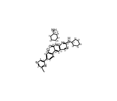 Cc1cncc(-c2ccc(-c3cc4cnc(NC5CCCCC5)nc4n([C@H]4CC[C@H](N)CC4)c3=O)c(Cl)c2)n1